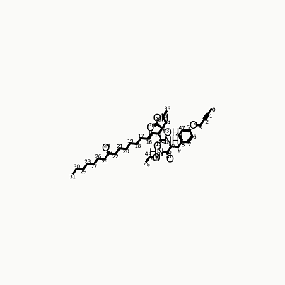 CC#CCOc1ccc(C[C@H](NC(=O)[C@@H](/C=C/CCCCCCC(=O)CCCCCCC)[C@@](O)(CCC)C(=O)O)C(=O)NOCC)cc1